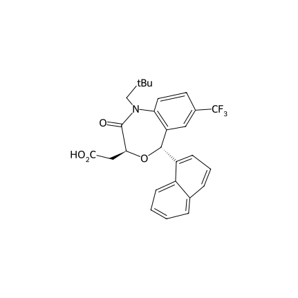 CC(C)(C)CN1C(=O)[C@H](CC(=O)O)O[C@@H](c2cccc3ccccc23)c2cc(C(F)(F)F)ccc21